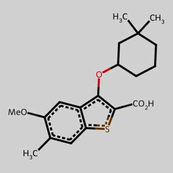 COc1cc2c(OC3CCCC(C)(C)C3)c(C(=O)O)sc2cc1C